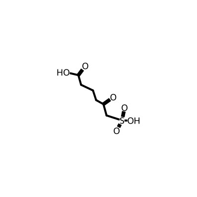 O=C(O)CCCC(=O)CS(=O)(=O)O